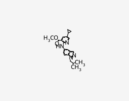 COC(=O)c1cc(C2CC2)cnc1Nc1ccc2c(cnn2CC(C)C)c1